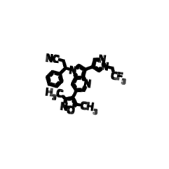 Cc1noc(C)c1-c1cnc2c(-c3cnn(CC(F)(F)F)c3)cn(C(CC#N)c3ccccc3)c2c1